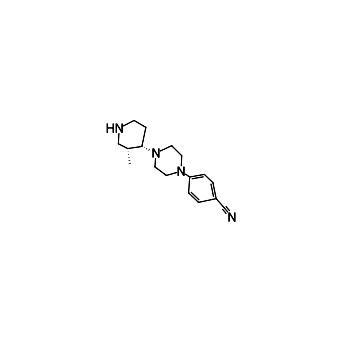 C[C@@H]1CNCC[C@@H]1N1CCN(c2ccc(C#N)cc2)CC1